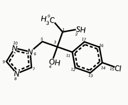 CC(S)C(O)(Cn1cncn1)c1ccc(Cl)cc1